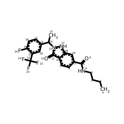 CCCCNC(=O)c1ccc2c(=O)n(C(C)c3ccc(F)c(C(F)(F)F)c3)[nH]c2c1